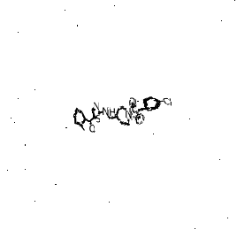 Cc1ccccc1C(=O)c1cnc(NCC2CCN(S(=O)(=O)c3ccc(Cl)cc3)CC2)s1